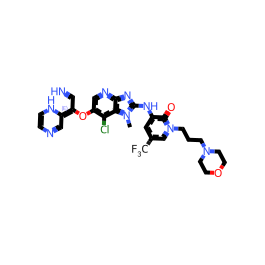 Cn1c(Nc2cc(C(F)(F)F)cn(CCCN3CCOCC3)c2=O)nc2ncc(O/C(C=N)=C3\C=NC=CN3)c(Cl)c21